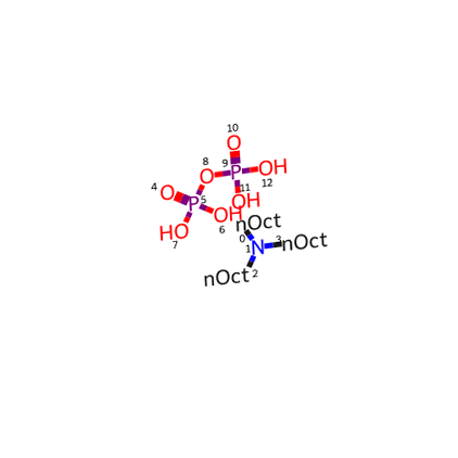 CCCCCCCCN(CCCCCCCC)CCCCCCCC.O=P(O)(O)OP(=O)(O)O